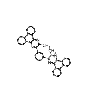 Cc1nc2c3ccccc3c3ccccc3c2nc1-c1cccc(-c2nc3c4ccccc4c4ccccc4c3nc2C)c1